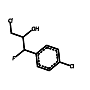 OC(CCl)C(F)c1ccc(Cl)cc1